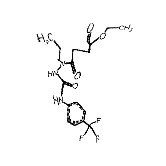 CCCN(NC(=O)Nc1ccc(C(F)(F)F)cc1)C(=O)CCC(=O)OCC